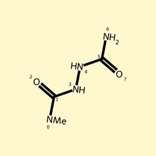 CNC(=O)NNC(N)=O